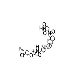 CC1(C)C(NC(=O)c2ccc(N3CCN(Cc4ccc5c(c4F)CN(C4CCC(=O)NC4=O)C5=O)CC3)nc2)C(C)(C)C1Oc1ccc(C#N)c(Cl)c1